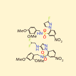 COc1ccc(CNS(=O)(=O)c2cc([N+](=O)[O-])ccc2-n2cc(NCC(F)F)cn2)c(OC)c1.COc1ccc(CNS(=O)(=O)c2cc([N+](=O)[O-])ccc2-n2ccc(F)n2)c(OC)c1